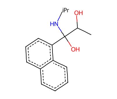 CC(C)NC(O)(c1cccc2ccccc12)C(C)O